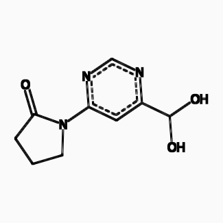 O=C1CCCN1c1cc(C(O)O)ncn1